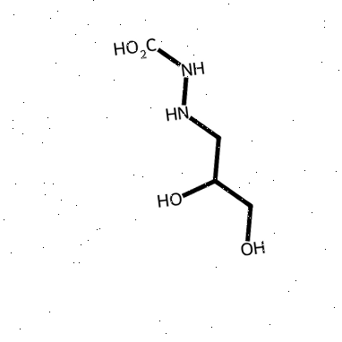 O=C(O)NNCC(O)CO